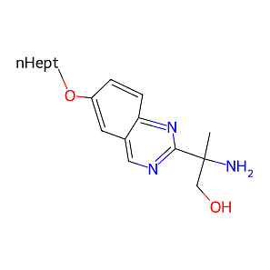 CCCCCCCOc1ccc2nc(C(C)(N)CO)ncc2c1